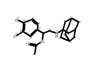 CC(=S)OC(CNC12CC3CC(CC(C3)C1)C2)c1ccc(Cl)c(Cl)c1